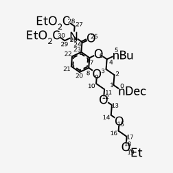 CCCCCCCCCCCCCC(CCCC)Oc1c(OCCOCCOCCOCC)cccc1C(=O)N(CC(=O)OCC)CC(=O)OCC